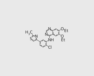 CCOc1cc2ncnc(Nc3cc(-c4csc(C)n4)ccc3Cl)c2cc1OCC